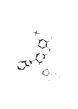 COc1cc(OC(F)(F)F)ccc1[C@@H](C)Nc1nc(C)c(-c2nc3cnccc3s2)c(N[C@@H]2C[C@H](CO)[C@@H](O)[C@H]2O)n1